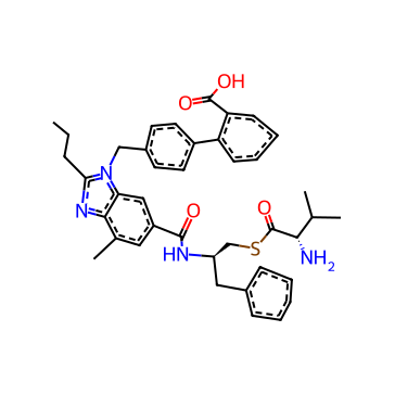 CCCc1nc2c(C)cc(C(=O)N[C@@H](CSC(=O)[C@@H](N)C(C)C)Cc3ccccc3)cc2n1Cc1ccc(-c2ccccc2C(=O)O)cc1